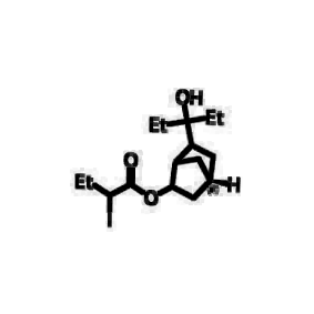 CCC(I)C(=O)OC1C[C@@H]2CC1C(C(O)(CC)CC)C2